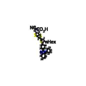 CCCCCCc1cc(-c2cc3sc(/C=C(/C#N)C(=O)O)cc3s2)sc1-c1ccc(-c2nc3ccccc3n2-c2ccccc2)cc1